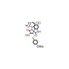 CC/C=C(/Cl)CC(C)N1C(=O)C(O)=C(SCc2ccc(OC)cc2)C12C(=O)Nc1cc(Cl)ccc12